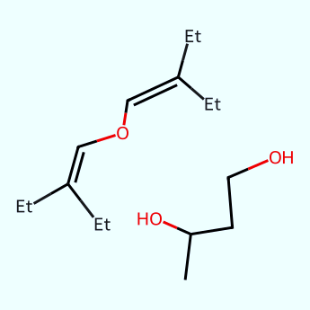 CC(O)CCO.CCC(=COC=C(CC)CC)CC